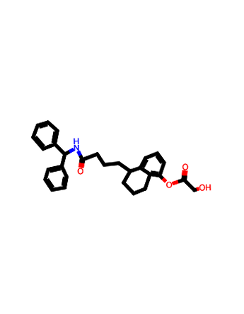 O=C(CCCC1CCCc2c(OC(=O)CO)cccc21)NC(c1ccccc1)c1ccccc1